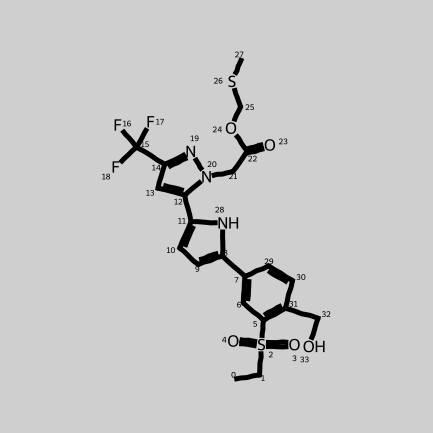 CCS(=O)(=O)c1cc(-c2ccc(-c3cc(C(F)(F)F)nn3CC(=O)OCSC)[nH]2)ccc1CO